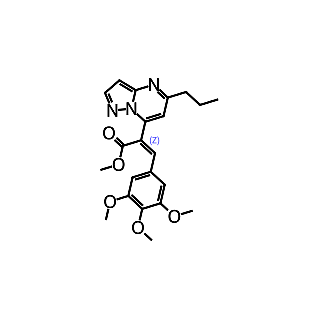 CCCc1cc(/C(=C/c2cc(OC)c(OC)c(OC)c2)C(=O)OC)n2nccc2n1